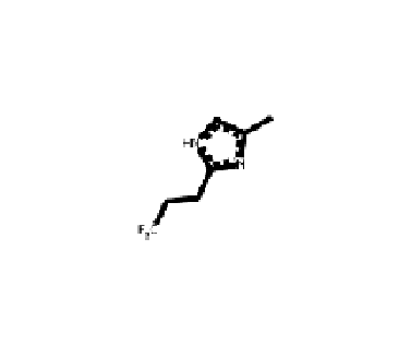 Cc1c[nH]c(CCC(F)(F)F)n1